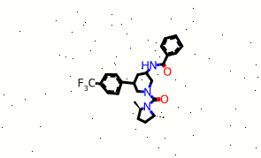 C[C@@H]1CC[C@@H](C)N1C(=O)N1CC(NC(=O)c2ccccc2)CC(c2ccc(C(F)(F)F)cc2)C1